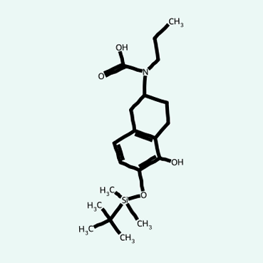 CCCN(C(=O)O)C1CCc2c(ccc(O[Si](C)(C)C(C)(C)C)c2O)C1